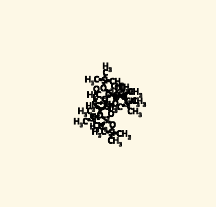 CCC(N=C=O)[Si](O[Si](C)(O[Si](C)(C)C)O[Si](C)(C)C)(O[Si](C)(O[Si](C)(C)C)O[Si](C)(C)C)O[Si](C)(O[Si](C)(C)C)O[Si](C)(C)C